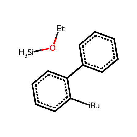 CCC(C)c1ccccc1-c1ccccc1.CCO[SiH3]